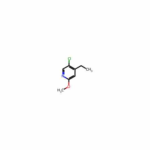 CCc1cc(OC)ncc1Cl